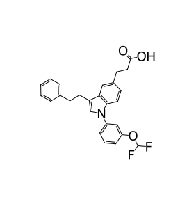 O=C(O)CCc1ccc2c(c1)c(CCc1ccccc1)cn2-c1cccc(OC(F)F)c1